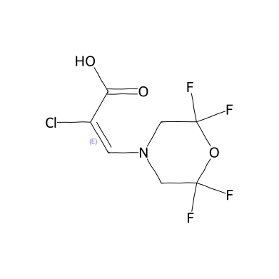 O=C(O)/C(Cl)=C\N1CC(F)(F)OC(F)(F)C1